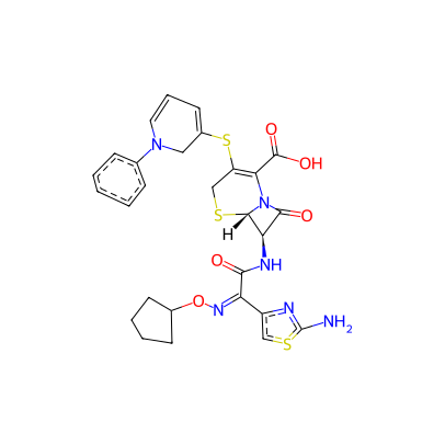 Nc1nc(/C(=N/OC2CCCC2)C(=O)N[C@@H]2C(=O)N3C(C(=O)O)=C(SC4=CC=CN(c5ccccc5)C4)CS[C@@H]23)cs1